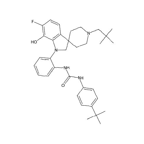 CC(C)(C)CN1CCC2(CC1)CN(c1ccccc1NC(=O)Nc1ccc(C(C)(C)C)cc1)c1c2ccc(F)c1O